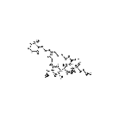 C[C@H](O)C(CO)O[C@H](OCCN(CCCCCC(=O)ON(C)C(=O)CCC=O)CCCC1OCCCC1O)C(O)CO